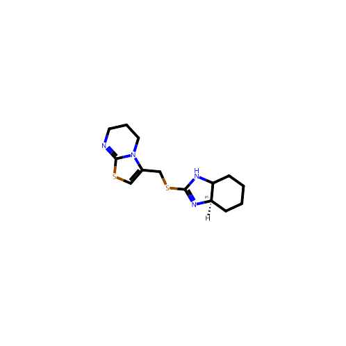 C1=C(CSC2=N[C@@H]3CCCCC3N2)N2CCCN=C2S1